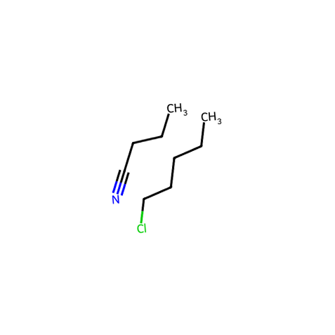 CCCC#N.CCCCCCl